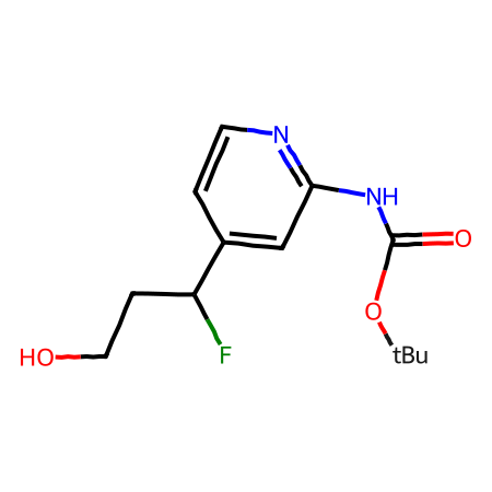 CC(C)(C)OC(=O)Nc1cc(C(F)CCO)ccn1